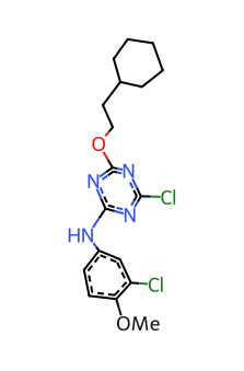 COc1ccc(Nc2nc(Cl)nc(OCCC3CCCCC3)n2)cc1Cl